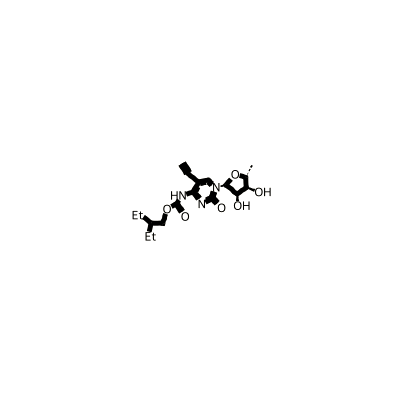 C#Cc1cn([C@@H]2O[C@H](C)[C@@H](O)[C@H]2O)c(=O)nc1NC(=O)OCC(CC)CC